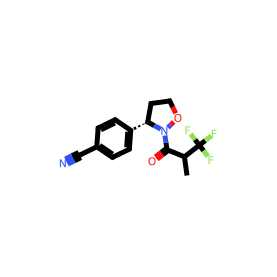 CC(C(=O)N1OCC[C@H]1c1ccc(C#N)cc1)C(F)(F)F